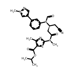 Cc1nc(N(C)C(=O)C[C@H](CC#N)N(C=O)c2cccc(-c3cnn(C)c3)c2)sc1C(=O)OC(C)C